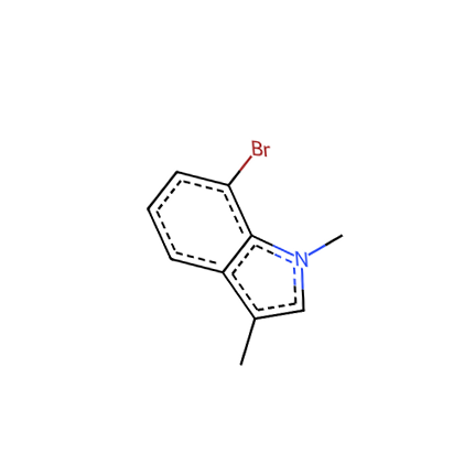 Cc1cn(C)c2c(Br)cccc12